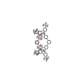 FC(F)(F)c1ccc2c(c1)c1cc(C(F)(F)F)ccc1n2-c1ccc(-c2cccc(-c3ccc(-n4c5ccc(C(F)(F)F)cc5c5cc(C(F)(F)F)ccc54)c(-c4nc(-c5ccccc5)nc(-c5ccccc5)n4)c3)c2)cc1-c1nc(-c2ccccc2)nc(-c2ccccc2)n1